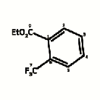 CCOC(=O)c1ccccc1C(F)(F)F